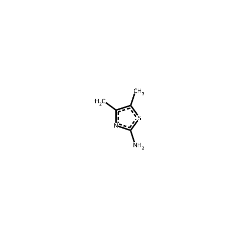 [CH2]c1nc(N)sc1C